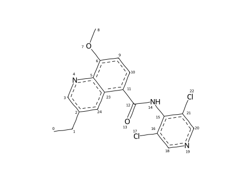 CCc1cnc2c(OC)ccc(C(=O)Nc3c(Cl)cncc3Cl)c2c1